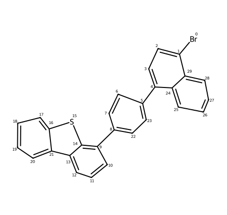 Brc1ccc(-c2ccc(-c3cccc4c3sc3ccccc34)cc2)c2ccccc12